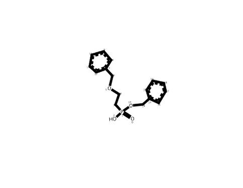 O=P(O)(CCOCc1ccccc1)OCc1ccccc1